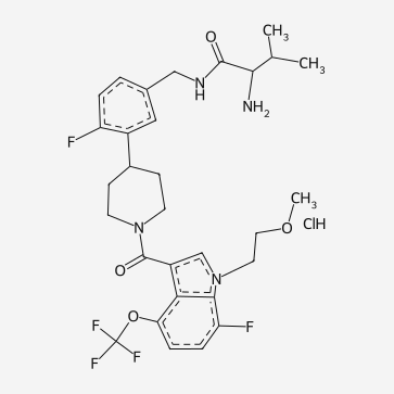 COCCn1cc(C(=O)N2CCC(c3cc(CNC(=O)C(N)C(C)C)ccc3F)CC2)c2c(OC(F)(F)F)ccc(F)c21.Cl